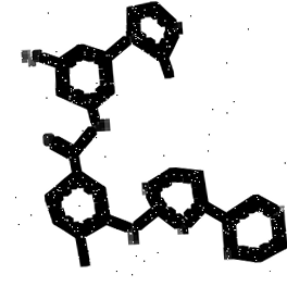 Cc1ccc(C(=O)Nc2cc(-n3ccnc3C)cc(C(F)(F)F)c2)cc1Nc1nccc(-c2cnccn2)n1